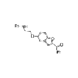 CCNCCOc1ccc2oc(C(=O)C(C)C)cc2c1